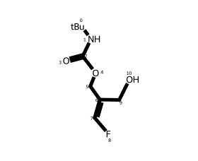 CC(C)(C)NC(=O)OC/C(=C/F)CO